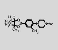 CC(=O)N1CCN(c2ccc(B3OC(C)(C)C(C)(C)O3)cc2C)CC1